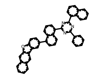 c1ccc(-c2nc(-c3cccc4ccccc34)nc(-c3cccc4c(-c5ccc6oc7cc8ccccc8cc7c6c5)cccc34)n2)cc1